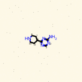 Nc1ncnc(C2CCNCC2)n1